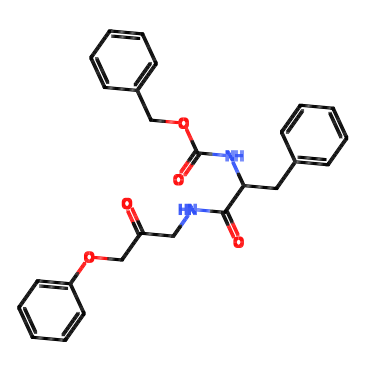 O=C(CNC(=O)C(Cc1ccccc1)NC(=O)OCc1ccccc1)COc1ccccc1